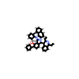 C=CC1=NC(C=C)C(C2c3ccc4c(oc5ccccc54)c3-c3n(-c4c(C(C)C)cccc4C(C)C)c4c5ccccc5ccc4[n+]32)c2ccccc21